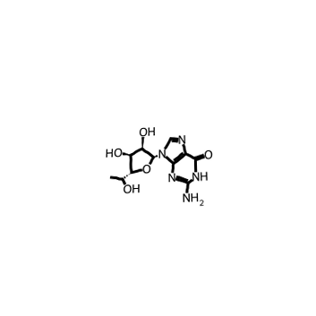 CC(O)[C@H]1O[C@@H](n2cnc3c(=O)[nH]c(N)nc32)[C@H](O)[C@@H]1O